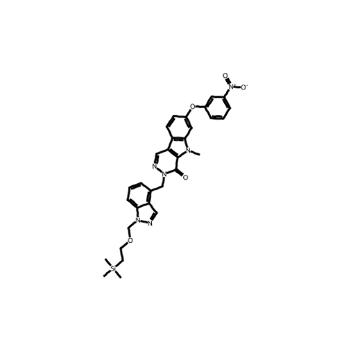 Cn1c2cc(Oc3cccc([N+](=O)[O-])c3)ccc2c2cnn(Cc3cccc4c3cnn4COCC[Si](C)(C)C)c(=O)c21